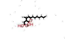 CCCCCCCC=CC(C)C(CC(=O)O)C(=O)O